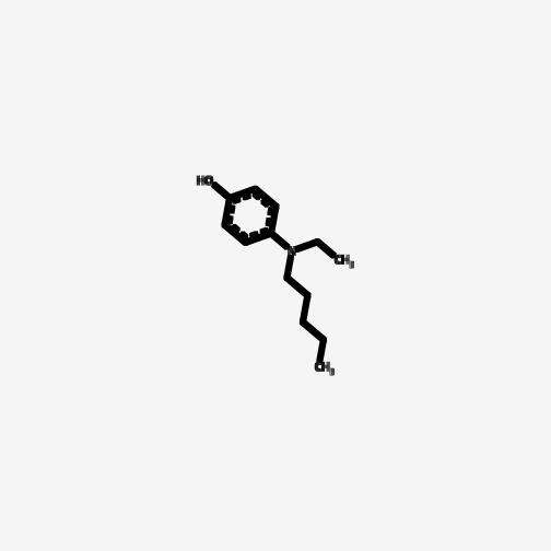 CCCCCN(CC)c1ccc(O)cc1